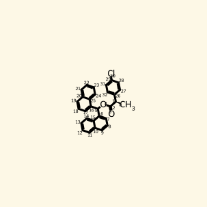 C[C@@H](C(=O)OC(c1cccc2ccccc12)c1cccc2ccccc12)c1ccc(Cl)cc1